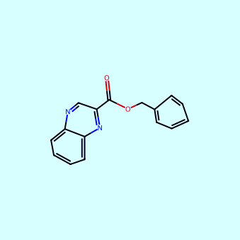 O=C(OCc1ccccc1)c1cnc2ccccc2n1